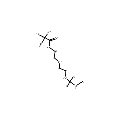 COC(C)(C)OCCOCCNC(=O)C(F)(F)F